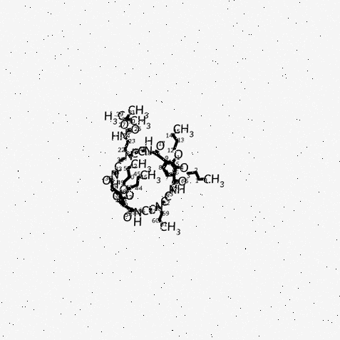 CCCCOc1c2ccc(c1OCCCC)C(=O)NCCN(CCNC(=O)OC(C)(C)C)CCNC(=O)c1ccc(c(OCCCC)c1OCCCC)C(=O)NCCN(CCC)CCNC2=O